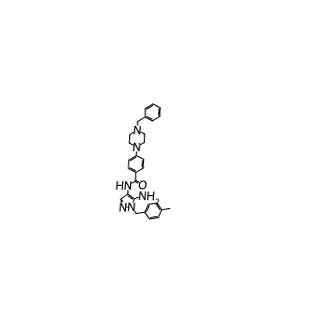 Cc1ccc(Cn2ncc(NC(=O)c3ccc(N4CCN(Cc5ccccc5)CC4)cc3)c2N)cc1